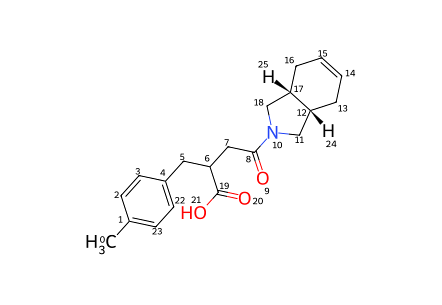 Cc1ccc(CC(CC(=O)N2C[C@H]3CC=CC[C@H]3C2)C(=O)O)cc1